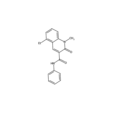 CCc1cccc2c1cc(C(=O)Nc1ccccc1)c(=O)n2C